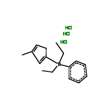 C[CH2][Ti]([CH2]C)([C]1=CC(C)=CC1)[c]1ccccc1.Cl.Cl.Cl